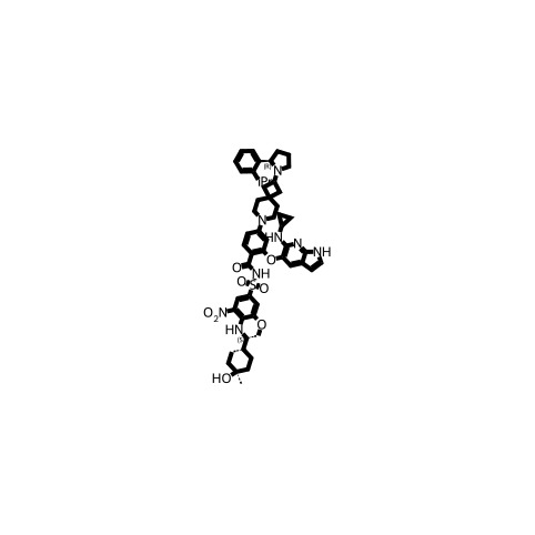 CC(C)c1ccccc1[C@H]1CCCN1C1CC2(CCN(c3ccc(C(=O)NS(=O)(=O)c4cc5c(c([N+](=O)[O-])c4)N[C@@H]([C@H]4CC[C@](C)(O)CC4)CO5)c(Oc4cc5cc[nH]c5nc4NC4CC4)c3)CC2)C1